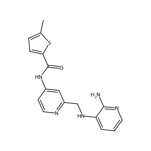 Cc1ccc(C(=O)Nc2ccnc(CNc3cccnc3N)c2)s1